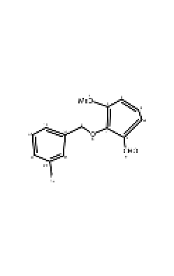 COc1cccc(C=O)c1OCc1cccc(F)c1